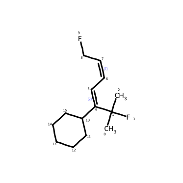 CC(C)(F)/C(=C\C=C/CF)C1CCCCC1